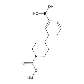 CC(C)(C)OC(=O)N1CCC(c2cccc(B(O)O)c2)CC1